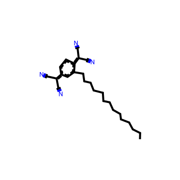 CCCCCCCCCCCCCCc1cc(=C(C#N)C#N)ccc1=C(C#N)C#N